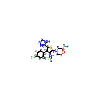 [C-]#[N+]c1c(N2CCO[C@@H](CF)C2)sc(-c2nnc[nH]2)c1-c1ccc(Cl)cc1Cl